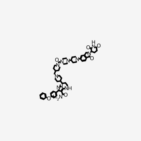 NC(=O)c1c(-c2ccc(Oc3ccccc3)cc2)nn2c1NCCC2C1CCN(CC2CCN(C(=O)N3CCN(C4CCN(c5ccc6c(c5)CN(C5CCC(=O)NC5=O)C6=O)CC4)CC3)CC2)CC1